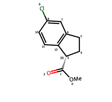 COC(=O)[C@H]1CCc2cc(Cl)ccc21